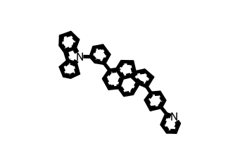 c1ccc(-c2ccc(-c3ccc4ccc5c(-c6cccc(-n7c8ccccc8c8ccccc87)c6)ccc6ccc3c4c65)cc2)nc1